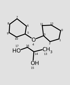 C1CCC(OC2CCCCC2)CC1.CC(O)CO